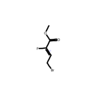 COC(=O)/C(F)=C/CBr